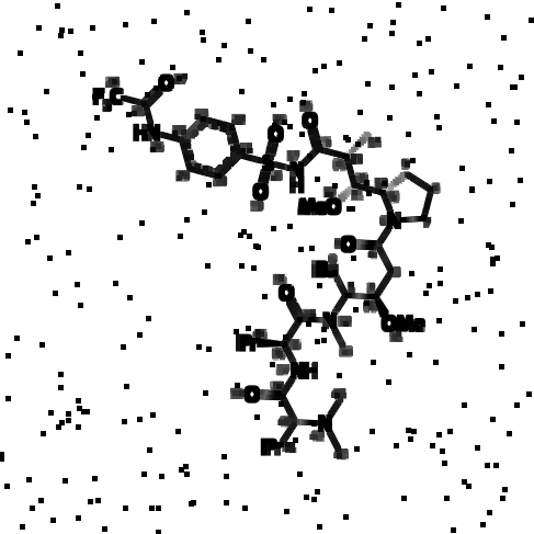 CCC(C)C([C@@H](CC(=O)N1CCC[C@H]1[C@H](OC)[C@@H](C)C(=O)NS(=O)(=O)c1ccc(NC(=O)C(F)(F)F)cc1)OC)N(C)C(=O)[C@@H](NC(=O)C(C(C)C)N(C)C)C(C)C